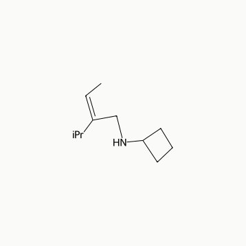 C/C=C(\CNC1CCC1)C(C)C